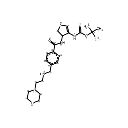 CC(C)(C)OC(=O)NC1=CSCC1NC(=O)c1ccc(CNCCN2CCOCC2)cn1